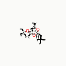 C[SiH](C)O[SiH](CC(C)(C)C)O[Si](C)(C)O[Si](C)(C)C